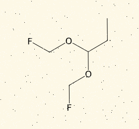 C[CH]C(OCF)OCF